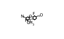 Cc1cc(C#N)cc(Oc2c(C)ccc(CC=O)c2F)c1